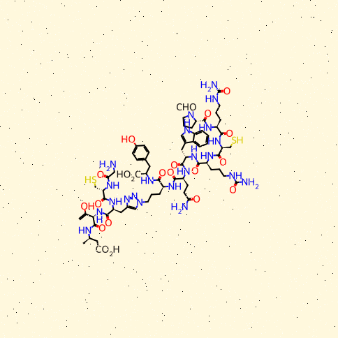 C=C(O)[C@H](NC(=O)[C@H](Cc1cn(CCC[C@H](NC(=O)[C@H](CCC(N)=O)NC(=O)[C@H](Cc2c[nH]c3ccccc23)NC(=O)[C@H](CCCNC(N)=O)NC(=O)[C@H](CS)NC(=O)[C@H](CCCNC(N)=O)NC(=O)[C@@H]2CCCN2C=O)C(=O)N[C@H](Cc2ccc(O)cc2)C(=O)O)nn1)NC(=O)[C@H](CS)NC(=O)CN)C(=O)N[C@H](C)CC(=O)O